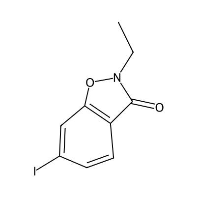 CCn1oc2cc(I)ccc2c1=O